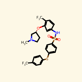 CN1CC[C@@H](Oc2cc(NS(=O)(=O)c3ccc(Sc4ccc(C(F)(F)F)cc4)cc3)ccc2C(F)(F)F)C1